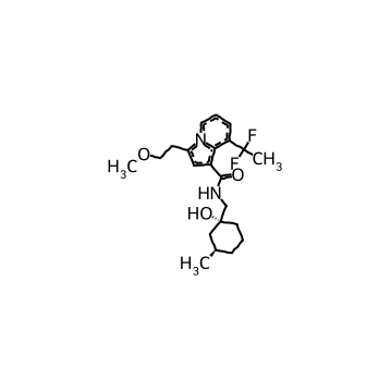 COCCc1cc(C(=O)NC[C@@]2(O)CCC[C@@H](C)C2)c2c(C(C)(F)F)cccn12